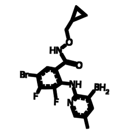 Bc1cc(C)cnc1Nc1c(C(=O)NOCC2CC2)cc(Br)c(F)c1F